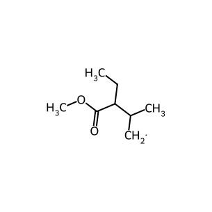 [CH2]C(C)C(CC)C(=O)OC